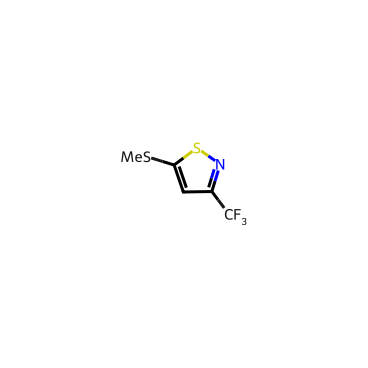 CSc1cc(C(F)(F)F)ns1